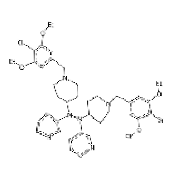 CCOc1cc(CN2CCC(N(c3cccnc3)N(c3cccnc3)C3CCN(Cc4cc(OCC)c(Br)c(OCC)c4)CC3)CC2)cc(OCC)c1Cl